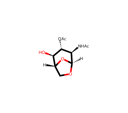 CC(=O)N[C@H]1[C@H]2OC[C@@H](O2)[C@@H](O)[C@@H]1OC(C)=O